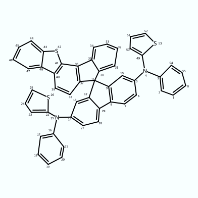 c1ccc(N(c2ccc3c(c2)C2(c4cc(N(c5ccccc5)c5cccs5)ccc4-3)c3ccccc3-c3c2ccc2c3sc3ccccc32)c2cccs2)cc1